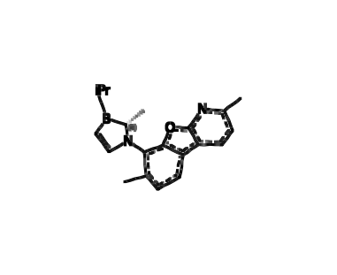 Cc1ccc2c(n1)oc1c(N3C=CB(C(C)C)[C@@H]3C)c(C)ccc12